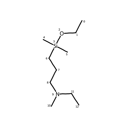 CCO[Si](C)(C)CCCN(C)CC